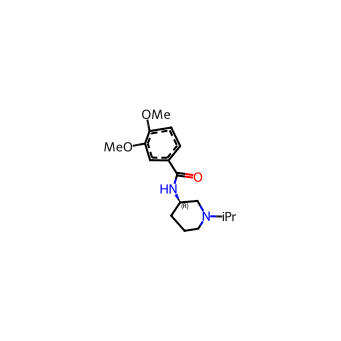 COc1ccc(C(=O)N[C@@H]2CCCN(C(C)C)C2)cc1OC